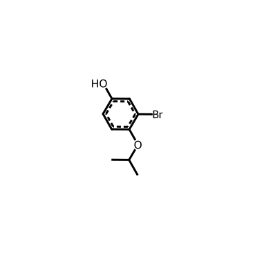 CC(C)Oc1ccc(O)cc1Br